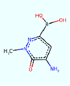 Cn1nc(B(O)O)cc(N)c1=O